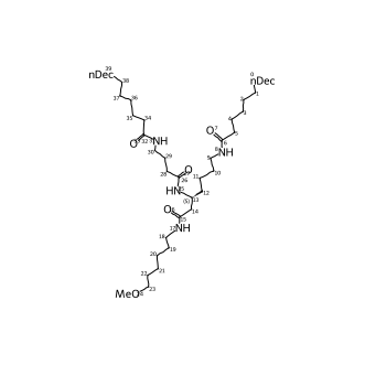 CCCCCCCCCCCCCCCC(=O)NCCCC[C@@H](CC(=O)NCCCCCCOC)NC(=O)CCCNC(=O)CCCCCCCCCCCCCCC